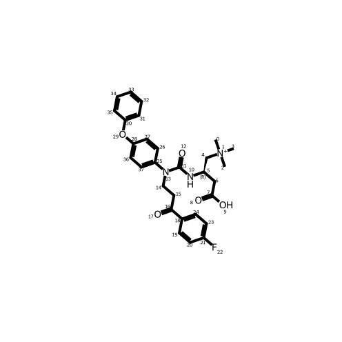 C[N+](C)(C)C[C@@H](CC(=O)O)NC(=O)N(CCC(=O)c1ccc(F)cc1)c1ccc(Oc2ccccc2)cc1